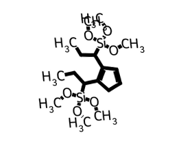 CCC(C1=C(C(CC)[Si](OC)(OC)OC)CC=C1)[Si](OC)(OC)OC